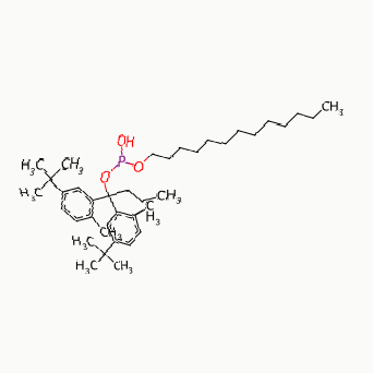 CCCCCCCCCCCCCOP(O)OC(CCC)(c1cc(C(C)(C)C)ccc1C)c1cc(C(C)(C)C)ccc1C